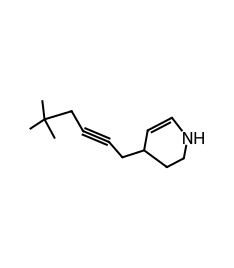 CC(C)(C)CC#CCC1C=CNCC1